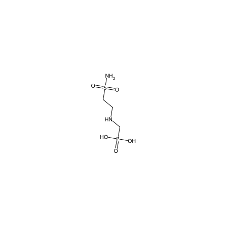 NS(=O)(=O)CCNCP(=O)(O)O